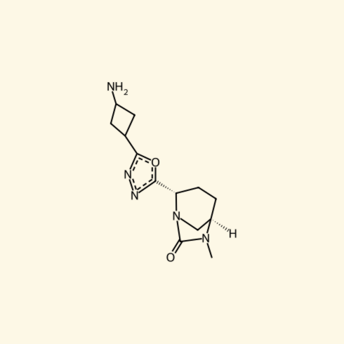 CN1C(=O)N2C[C@H]1CC[C@H]2c1nnc(C2CC(N)C2)o1